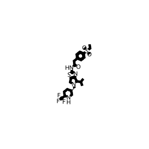 CCS(=O)(=O)c1ccc(CC(=O)Nc2nc3c(s2)CN(C[C@H]2CCC(C(F)(F)F)NC2)C3C(C)C)cc1